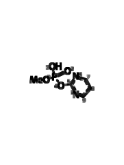 COP(=O)(O)Oc1ncccn1